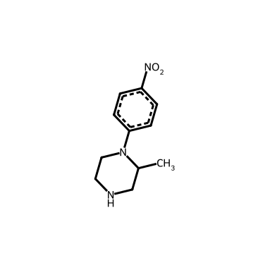 CC1CNCCN1c1ccc([N+](=O)[O-])cc1